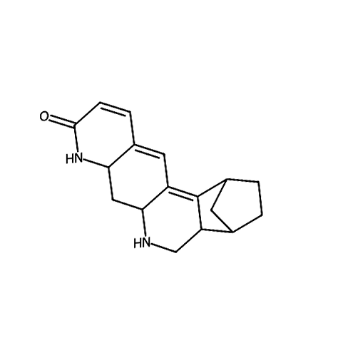 O=C1C=CC2=CC3=C4C5CCC(C5)C4CNC3CC2N1